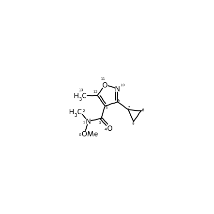 CON(C)C(=O)c1c(C2CC2)noc1C